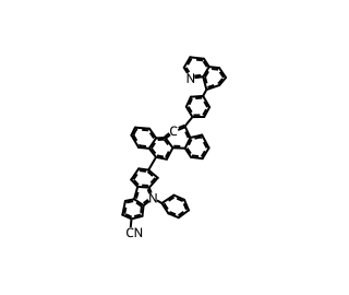 N#Cc1ccc2c3ccc(-c4cc5c6ccccc6c(-c6ccc(-c7cccc8cccnc78)cc6)cc5c5ccccc45)cc3n(-c3ccccc3)c2c1